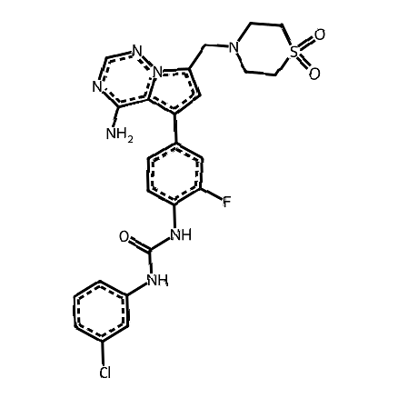 Nc1ncnn2c(CN3CCS(=O)(=O)CC3)cc(-c3ccc(NC(=O)Nc4cccc(Cl)c4)c(F)c3)c12